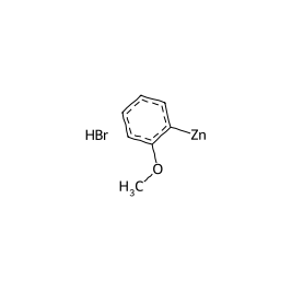 Br.COc1cccc[c]1[Zn]